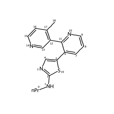 CCCNc1ncc(-c2cccnc2-c2cnccc2C)s1